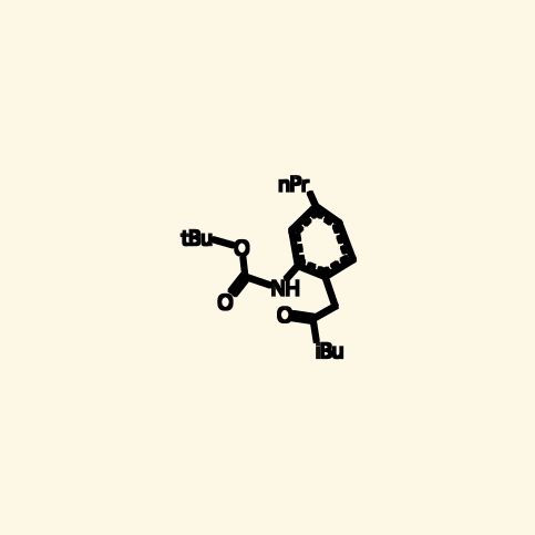 CCCc1ccc(CC(=O)C(C)CC)c(NC(=O)OC(C)(C)C)c1